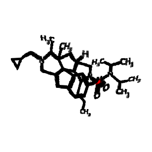 CCCC1C2[C@@H](CN1C(=O)N(C(C)C)C(C)C)CC1(C)C(C)N(CC3CC3)CC3Cc4ccc(N=O)cc4C321